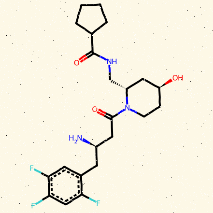 N[C@@H](CC(=O)N1CC[C@H](O)C[C@H]1CNC(=O)C1CCCC1)Cc1cc(F)c(F)cc1F